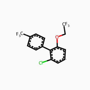 FC(F)(F)COc1c[c]cc(Cl)c1-c1ccc(C(F)(F)F)cc1